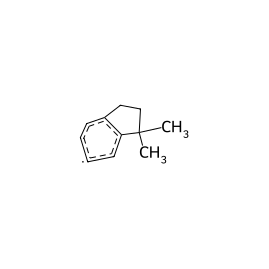 CC1(C)CCc2cc[c]cc21